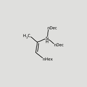 CCCCCCC=C(C)[SiH](CCCCCCCCCC)CCCCCCCCCC